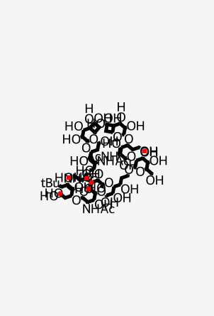 CC(=O)N/C(=C(\O)C(CCO)OC1OC2CC(O)(O)C2C(O)C1O)C(O)OC1C(OCCC(O)C(OC(O)C(OC(O)/C(NC(C)=O)=C(\O)C(CCO)OC2OC3CC(O)(O)C3C(O)C2O)C(O)C(O)CCO)C(O)C(O)OC2C(CO)OC(OC(CCO)/C(O)=C(/NC(C)=O)C(O)C(C)(C)C)C(NC(C)=O)C2O)OC(CO)C(O)C1O